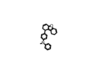 CN(c1ccccc1)c1ccc(C2CC=Cc3oc4c(c32)CCC=C4)cc1